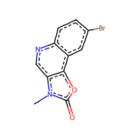 Cn1c(=O)oc2c3cc(Br)ccc3ncc21